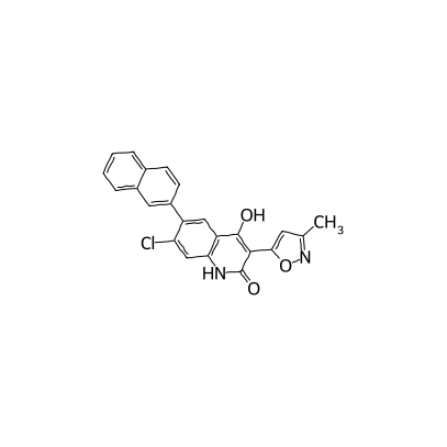 Cc1cc(-c2c(O)c3cc(-c4ccc5ccccc5c4)c(Cl)cc3[nH]c2=O)on1